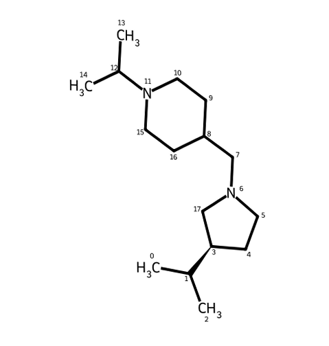 CC(C)[C@@H]1CCN(CC2CCN(C(C)C)CC2)C1